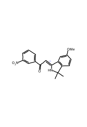 COc1ccc2c(c1)/C(=C/C(=O)c1cccc([N+](=O)[O-])c1)NC2(C)C